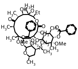 CC[C@H]1OC(=O)[C@H](C)[C@@H](OC2C[C@@](C)(OC)[C@@H](OC(=O)c3ccccc3)[C@H](C)O2)[C@H](C)[C@@H](OC2O[C@H](C)C[C@H](N(C)C)[C@H]2OC(=O)c2ccccc2)[C@@](C)(OC)C[C@@H](C)C(=O)[C@H](C)[C@@H](O)[C@]1(C)O